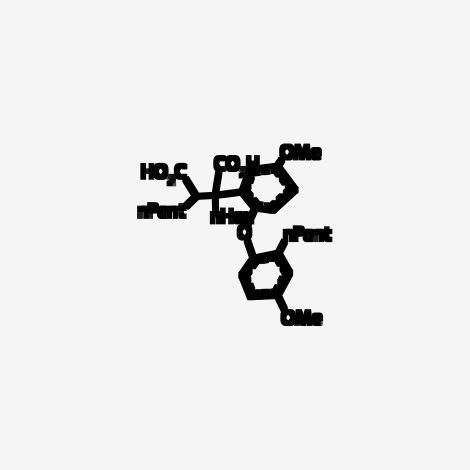 CCCCCCC(C(=O)O)(c1cc(OC)ccc1Oc1ccc(OC)cc1CCCCC)C(CCCCC)C(=O)O